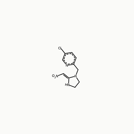 O=[N+]([O-])/C=C1\NCCN1Cc1ccc(Cl)cn1